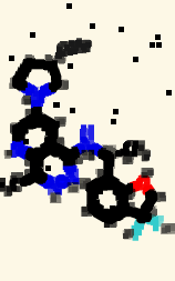 CO[C@H]1CCN(c2cnc3c(C)nnc(N[C@H](C)c4cccc5c4OCC5(F)F)c3c2)C1